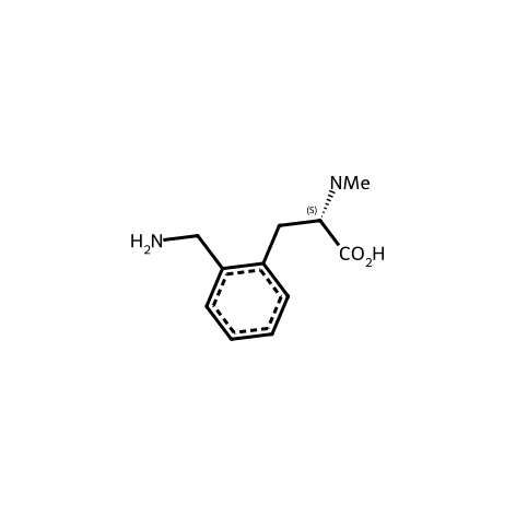 CN[C@@H](Cc1ccccc1CN)C(=O)O